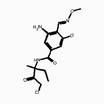 CCC(C)(NC(=O)c1cc(N)c(C=NOC)c(Cl)c1)C(=O)CCl